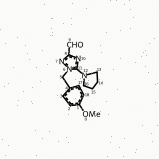 COc1ccc(Cn2nc(C=O)nc2N2CCCC2)cc1